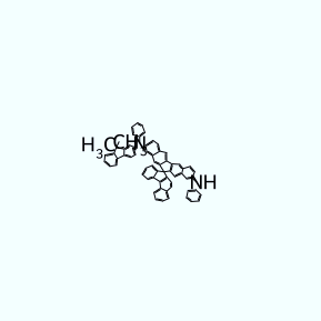 CC1(C)c2ccccc2-c2ccc(N(c3ccccc3)c3ccc4cc5c(cc4c3)C3(c4cc6cc(Nc7ccccc7)ccc6cc4-5)c4ccccc4-c4c3ccc3ccccc43)cc21